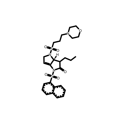 CCCC1C(=O)N(S(=O)(=O)c2cccc3ccccc23)C2=CCN(S(=O)(=O)CCCN3CCOCC3)[C@@H]21